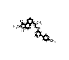 Cc1ccc(-c2cc(NC[C@@H](C)c3cccc4c3ncc3[nH]n(C)c(=O)c34)ncn2)cn1